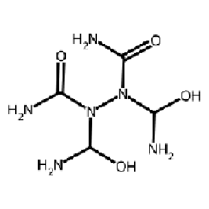 NC(=O)N(C(N)O)N(C(N)=O)C(N)O